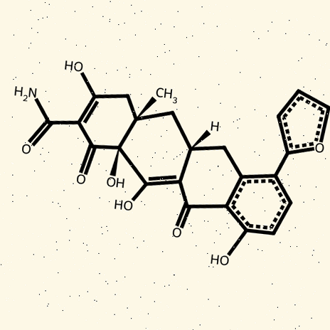 C[C@]12CC(O)=C(C(N)=O)C(=O)[C@@]1(O)C(O)=C1C(=O)c3c(O)ccc(-c4ccco4)c3C[C@H]1C2